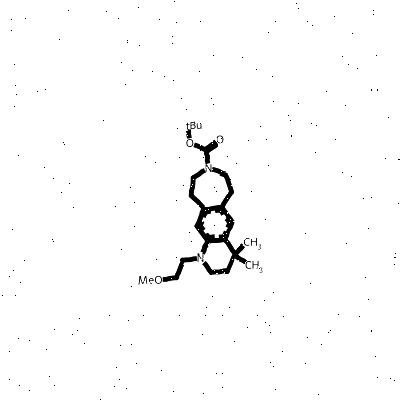 COCCN1CCC(C)(C)c2cc3c(cc21)CCN(C(=O)OC(C)(C)C)CC3